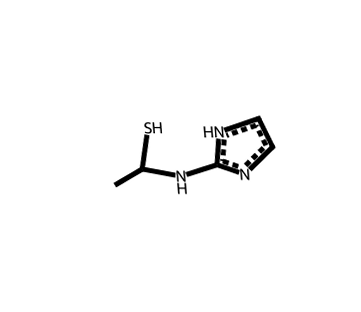 CC(S)Nc1ncc[nH]1